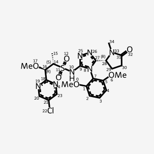 COc1cccc(OC)c1-n1c(NS(=O)(=O)[C@@H](C)[C@H](OC)c2ncc(Cl)cn2)nnc1[C@H]1CCC(=O)N1C